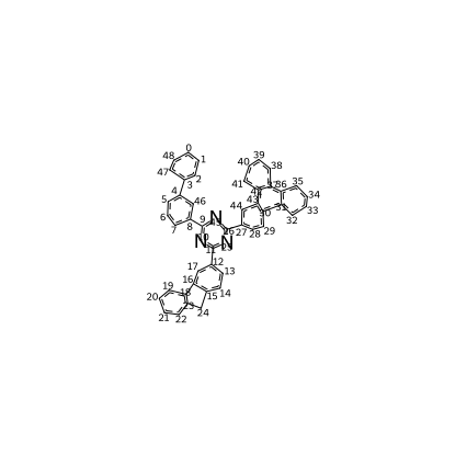 c1ccc(-c2cccc(-c3nc(-c4ccc5c(c4)-c4ccccc4C5)nc(-c4ccc5c6ccccc6c6ccccc6c5c4)n3)c2)cc1